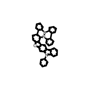 c1ccc(-n2c3ccccc3c3cc4c(cc32)oc2ccc3c(c24)N2B(c4ccccc4-c4ccccc42)c2ccccc2-3)cc1